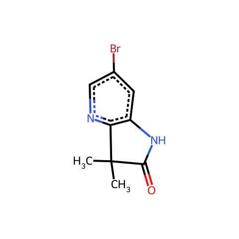 CC1(C)C(=O)Nc2cc(Br)cnc21